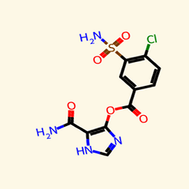 NC(=O)c1[nH]cnc1OC(=O)c1ccc(Cl)c(S(N)(=O)=O)c1